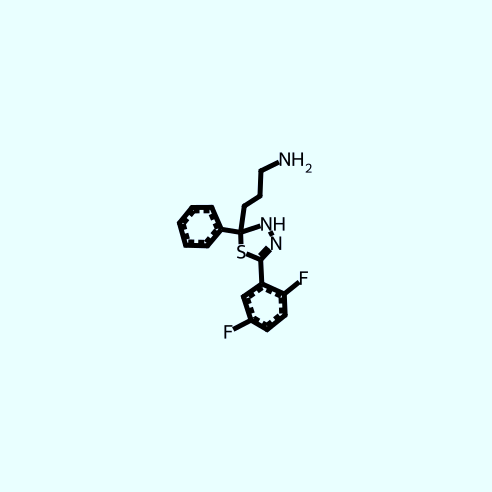 NCCCC1(c2ccccc2)NN=C(c2cc(F)ccc2F)S1